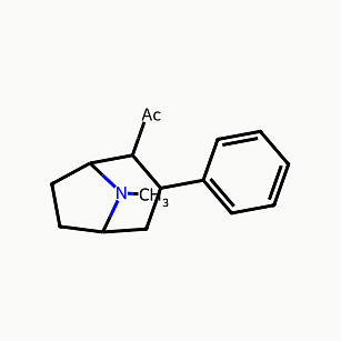 CC(=O)C1C(c2ccccc2)CC2CCC1N2C